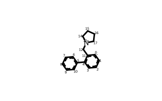 [c]1cccc(-c2ccccc2)c1CN1CCCC1